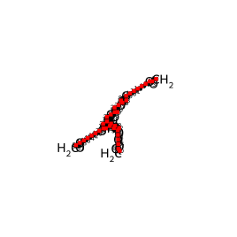 C=CC(=O)OCCCCCCCCCCCOc1ccc(OCc2ccc(C(=O)Oc3ccc4c5ccc(OCCCCCCCCCCOC(=O)C=C)cc5c5nc6cc(OCCOCCOC(=O)C=C)ccc6nc5c4c3)cc2)cc1